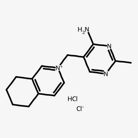 Cc1ncc(C[n+]2ccc3c(c2)CCCC3)c(N)n1.Cl.[Cl-]